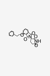 O=C1CCC(N2C(=O)c3cccc(OCCc4ccccc4)c3C2=O)C(=O)N1